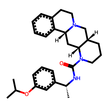 CC(C)Oc1cccc([C@@H](C)NC(=O)N2CCC[C@H]3CN4CCc5ccccc5[C@H]4C[C@H]32)c1